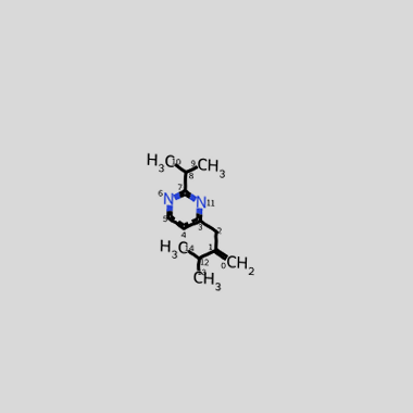 C=C(Cc1ccnc(C(C)C)n1)C(C)C